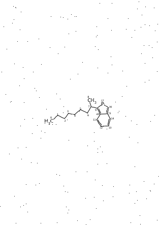 CCCCCCCC(C)C1=c2ccccc2=C[P]1